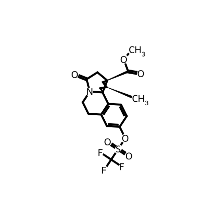 COC(=O)[C@H]1C2CC(=O)N3CCc4cc(OS(=O)(=O)C(F)(F)F)ccc4[C@@]23C[C@@H]1C